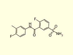 Cc1cc(NC(=O)c2cc(S(N)(=O)=O)ccc2F)ccc1F